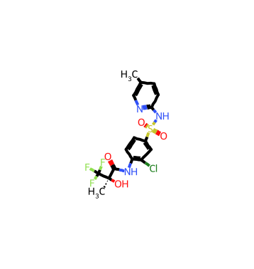 Cc1ccc(NS(=O)(=O)c2ccc(NC(=O)[C@@](C)(O)C(F)(F)F)c(Cl)c2)nc1